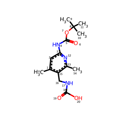 Cc1cc(NC(=O)OC(C)(C)C)nc(C)c1CNC(=O)O